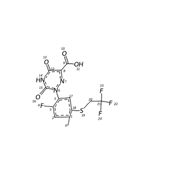 Cc1cc(F)c(-n2nc(C(=O)O)c(=O)[nH]c2=O)cc1SCC(F)(F)F